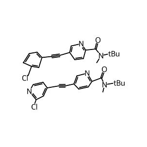 CN(C(=O)c1ccc(C#Cc2cccc(Cl)c2)cn1)C(C)(C)C.CN(C(=O)c1ccc(C#Cc2ccnc(Cl)c2)cn1)C(C)(C)C